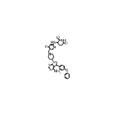 Nc1ncnc2c1c(-c1ccc(Oc3ccccc3)cc1)nn2C1CCN(Cc2cnc(NC3CCC(=O)NC3=O)cc2F)CC1